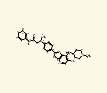 CN1CCC(Nc2c(Cl)cnc3[nH]c(-c4ccc(N(C)CC(=O)NC5=CNCC=C5)cc4)nc23)CC1